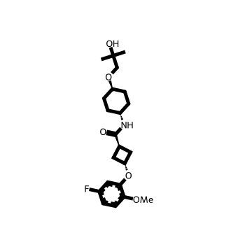 COc1ccc(F)cc1O[C@H]1C[C@H](C(=O)N[C@H]2CC[C@H](OCC(C)(C)O)CC2)C1